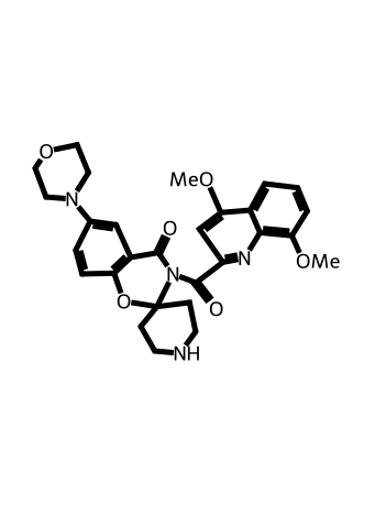 COc1cc(C(=O)N2C(=O)c3cc(N4CCOCC4)ccc3OC23CCNCC3)nc2c(OC)cccc12